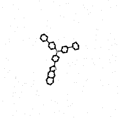 c1ccc(-c2ccc(N(c3ccc(-c4ccccc4)cc3)c3ccc(-c4cc5cc6ccccc6cc5s4)cc3)cc2)cc1